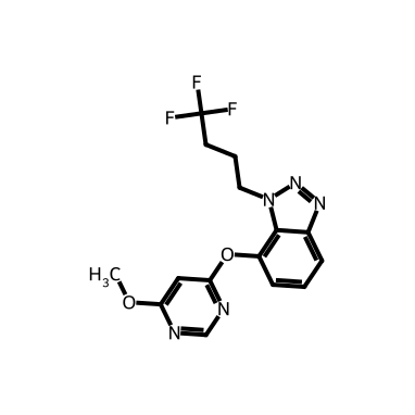 COc1cc(Oc2cccc3nnn(CCCC(F)(F)F)c23)ncn1